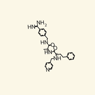 C[C@H](NC(=O)[C@@H](CCc1ccccc1)NCc1ccncc1)C(=O)NCc1ccc(C(=N)N)cc1